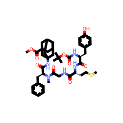 COC(=O)C12CC3CC(CC(NC(=O)[C@H](Cc4ccccc4)N(C)C(=O)CNC(=O)[C@@H](CCSC)NC(=O)[C@H](Cc4ccc(O)cc4)NC(=O)OC(C)(C)C)(C3)C1)C2